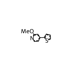 COc1cc(-c2cccs2)ccn1